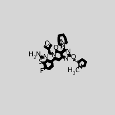 CN1CCC[C@H]1COc1nc(N2CC3CCC(C2)N3)c2c(=O)n(CC3COC3)c(-c3ccc(F)c4sc(N)nc34)cc2n1